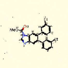 CCc1cccc(-c2cc3ncn(C(=O)OC)c3cc2-c2cccc(CC)c2)c1